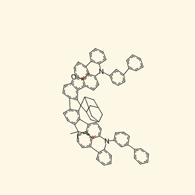 CC1(C)c2cc(N(c3cccc(-c4ccccc4)c3)c3ccccc3-c3ccccc3)ccc2-c2c1ccc1c2C2(c3c-1ccc1oc4cc(N(c5cccc(-c6ccccc6)c5)c5ccccc5-c5ccccc5)ccc4c31)C1CC3CC(C1)CC2C3